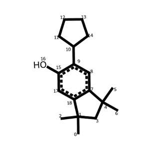 CC1(C)CC(C)(C)c2cc(C3CCCC3)c(O)cc21